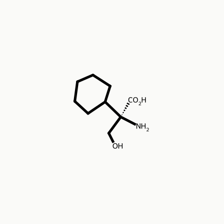 N[C@](CO)(C(=O)O)C1CCCCC1